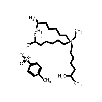 CC[N+](CCCCCC(C)C)(CCCCCC(C)C)CCCCCC(C)C.Cc1ccc(S(=O)(=O)[O-])cc1